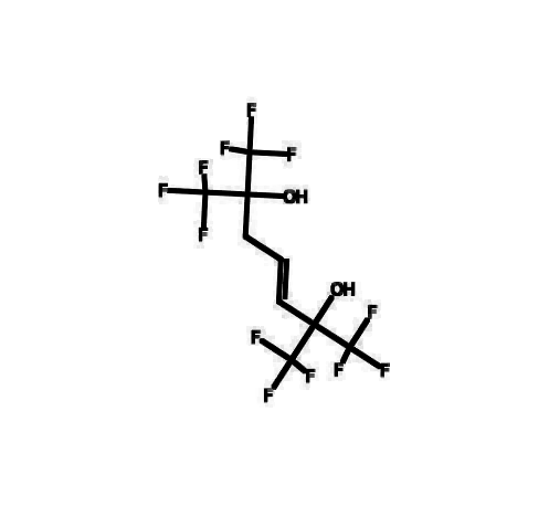 OC(/C=C/CC(O)(C(F)(F)F)C(F)(F)F)(C(F)(F)F)C(F)(F)F